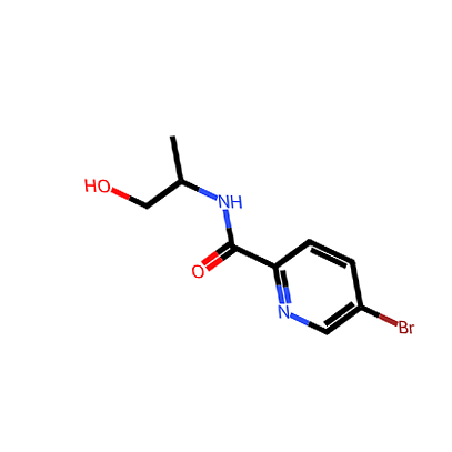 CC(CO)NC(=O)c1ccc(Br)cn1